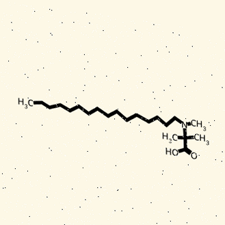 CCCCCCCCCCCCCCCCN(C)C(C)(C)C(=O)O